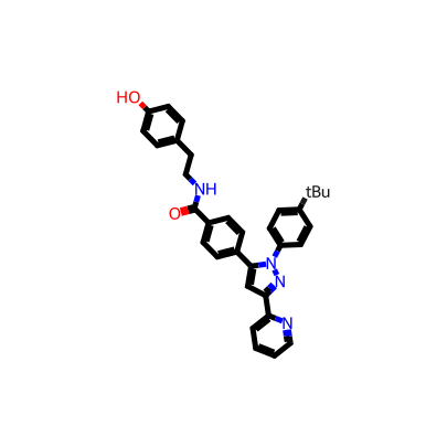 CC(C)(C)c1ccc(-n2nc(-c3ccccn3)cc2-c2ccc(C(=O)NCCc3ccc(O)cc3)cc2)cc1